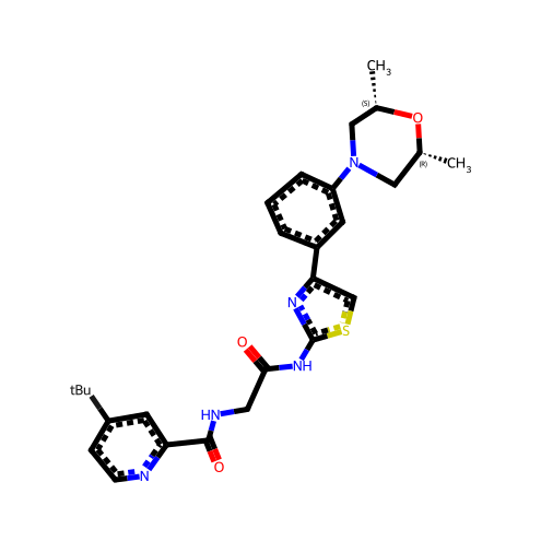 C[C@@H]1CN(c2cccc(-c3csc(NC(=O)CNC(=O)c4cc(C(C)(C)C)ccn4)n3)c2)C[C@H](C)O1